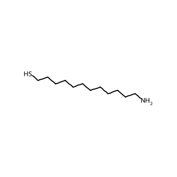 NCCCCCCCCCCCCS